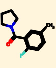 Cc1ccc(F)c(C(=O)N2CCCC2)c1